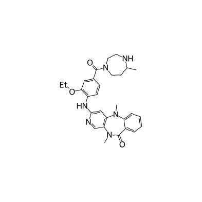 CCOc1cc(C(=O)N2CCNC(C)CC2)ccc1Nc1cc2c(cn1)N(C)C(=O)c1ccccc1N2C